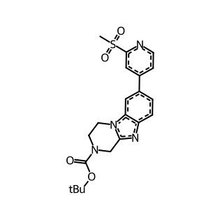 CC(C)(C)OC(=O)N1CCn2c(nc3ccc(-c4ccnc(S(C)(=O)=O)c4)cc32)C1